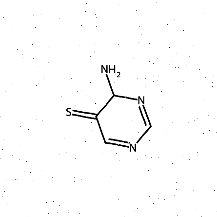 NC1N=CN=CC1=S